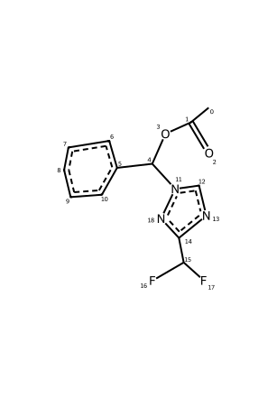 CC(=O)OC(c1ccccc1)n1cnc(C(F)F)n1